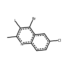 Cc1nc2ccc(Cl)cc2c(Br)c1I